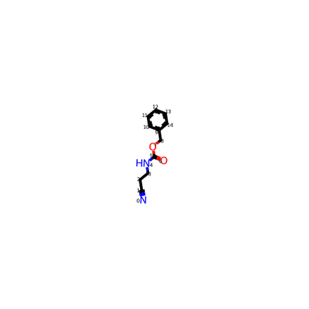 N#CCCNC(=O)OCc1ccccc1